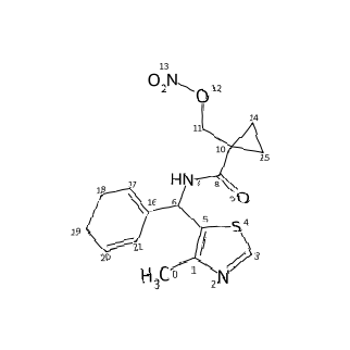 Cc1ncsc1C(NC(=O)C1(CO[N+](=O)[O-])CC1)C1=CCCC=C1